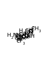 Cc1cnc(C2=Nc3cc([C@]4(C)C[C@@H](C(F)(F)F)OC(N)=N4)c(F)cc3CN2)c(C)c1